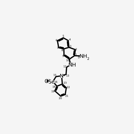 Nc1cc2ccccc2cc1NCCN1C[Se](=O)c2ccccc21